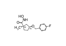 C[C@]1(C(=O)NO)CC[C@H](OCc2ccc(F)cc2)C1